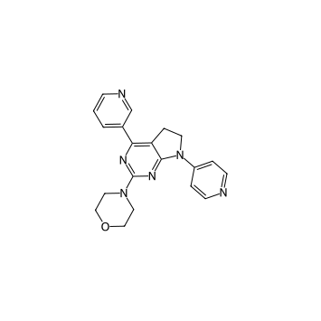 c1cncc(-c2nc(N3CCOCC3)nc3c2CCN3c2ccncc2)c1